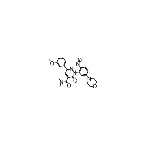 COc1cccc(-c2cc(C(=O)N(C)C)c(=O)n(-c3cc(N4CCOCC4)ccc3N=O)n2)c1